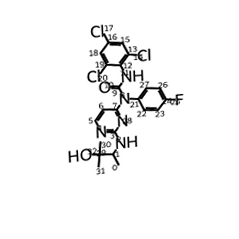 CC(Nc1nccc(N(C(=O)Nc2c(Cl)cc(Cl)cc2Cl)c2ccc(F)cc2)n1)C(C)(C)O